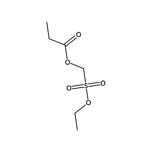 CCOS(=O)(=O)COC(=O)CC